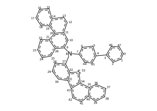 c1ccc(-c2ccc(N(c3cc4ccc5ccccc5c4c4ccccc34)c3cccc4c3sc3c5ccccc5ccc43)cc2)cc1